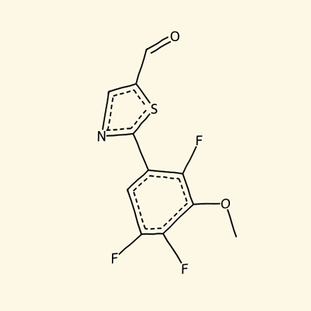 COc1c(F)c(F)cc(-c2ncc(C=O)s2)c1F